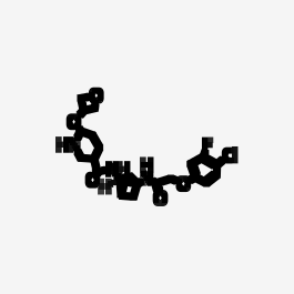 O=C(COc1ccc(Cl)c(F)c1)NC12CC(C1)[C@@H](NC(=O)C1CCC(OC3COC3)NC1)C2